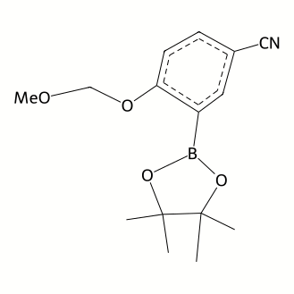 COCOc1ccc(C#N)cc1B1OC(C)(C)C(C)(C)O1